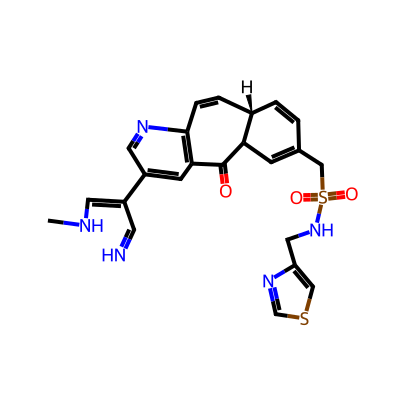 CN/C=C(\C=N)c1cnc2c(c1)C(=O)C1C=C(CS(=O)(=O)NCc3cscn3)C=C[C@H]1C=C2